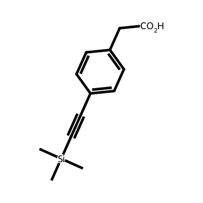 C[Si](C)(C)C#Cc1ccc(CC(=O)O)cc1